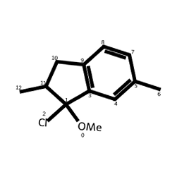 COC1(Cl)c2cc(C)ccc2CC1C